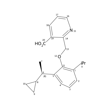 CC(C)c1cccc([C@H](C)C2CC2)c1OCc1ncccc1C(=O)O